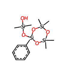 C[Si](C)(O)O[Si]1(c2ccccc2)O[Si](C)(C)O[Si](C)(C)O1